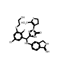 CCc1cc(OCCO)c(F)c(C(Nc2ccc3c(c2)CNC3=N)c2nn(C3=C(C(=O)O)SCC3)c(=O)[nH]2)c1